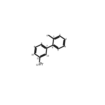 Cc1ccccc1-c1cccc(C(C)C)c1